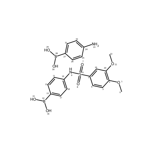 COc1ccc(S(=O)(=O)Nc2ccc(B(O)O)cc2)cc1OC.Nc1ccc(B(O)O)cc1